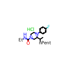 CCCCCC(C)C1CN(C(=O)NCC)CCN1c1ccc(F)cc1.Cl